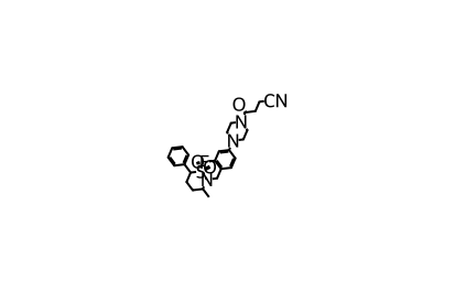 CC1CCC(c2ccccc2)S(=O)(=O)N1Cc1ccc(N2CCN(C(=O)CCC#N)CC2)cc1F